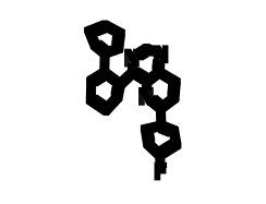 Fc1ccc(-c2ccc3ncnc(-c4ccccc4-c4ccccc4)c3n2)cc1